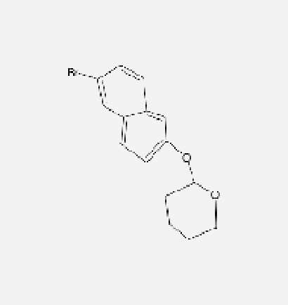 Brc1ccc2cc(OC3CCCCO3)ccc2c1